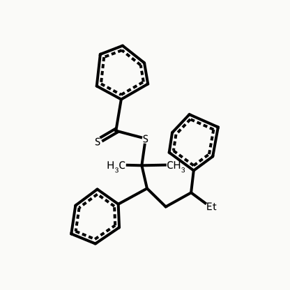 CCC(CC(c1ccccc1)C(C)(C)SC(=S)c1ccccc1)c1ccccc1